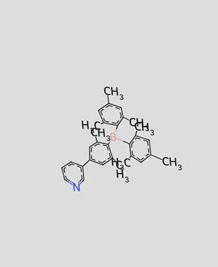 Cc1cc(C)c(B(c2c(C)cc(C)cc2C)c2c(C)cc(-c3cccnc3)cc2C)c(C)c1